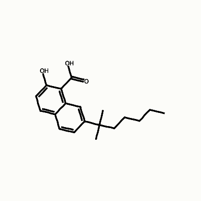 CCCCCC(C)(C)c1ccc2ccc(O)c(C(=O)O)c2c1